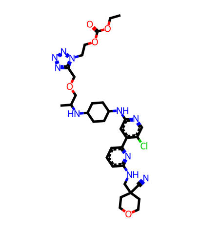 CCOC(=O)OCCn1nnnc1COCC(C)NC1CCC(Nc2cc(-c3cccc(NCC4(C#N)CCOCC4)n3)c(Cl)cn2)CC1